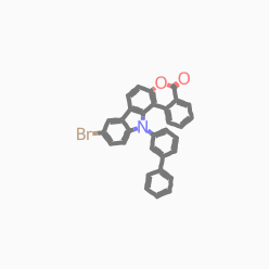 O=c1oc2ccc3c4cc(Br)ccc4n(-c4cccc(-c5ccccc5)c4)c3c2c2ccccc12